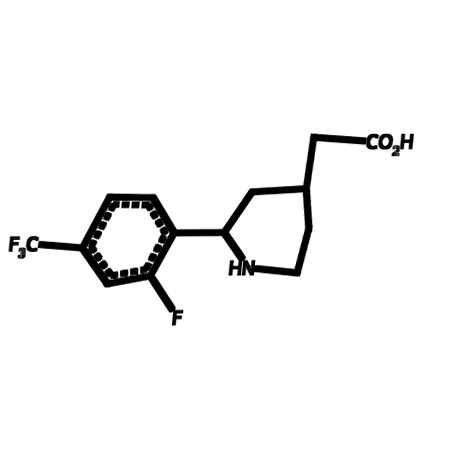 O=C(O)CC1CCNC(c2ccc(C(F)(F)F)cc2F)C1